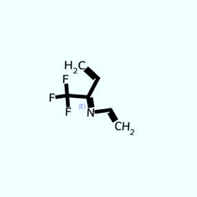 C=C/N=C(\C=C)C(F)(F)F